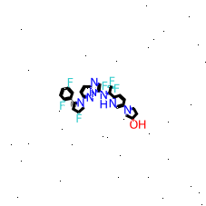 OC1CCN(c2ccc(C(Nc3cnc4ccc(N5CC(F)C[C@@H]5c5cc(F)ccc5F)nn34)C(F)(F)F)nc2)C1